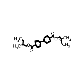 CC[C@H](C)COC(=O)c1ccc(-c2ccc(C(=O)OC[C@@H](C)CC)cc2)cc1